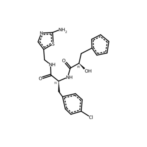 Nc1ncc(CNC(=O)[C@H](Cc2ccc(Cl)cc2)NC(=O)[C@H](O)Cc2ccccc2)s1